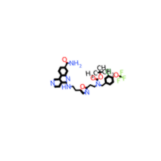 CC(C)(C)OC(=O)N(CCc1ncc(CCNc2nc3cc(C(N)=O)ccc3c3cnccc23)o1)Cc1ccc(OC(F)(F)F)c(Cl)c1